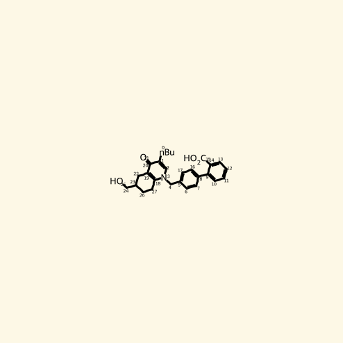 CCCCc1cn(Cc2ccc(-c3ccccc3C(=O)O)cc2)c2c(c1=O)CC(CO)CC2